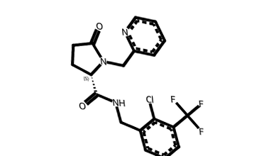 O=C(NCc1cccc(C(F)(F)F)c1Cl)[C@@H]1CCC(=O)N1Cc1ccccn1